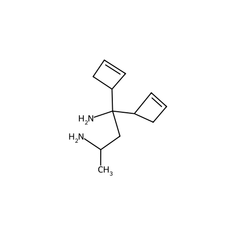 CC(N)CC(N)(C1C=CC1)C1C=CC1